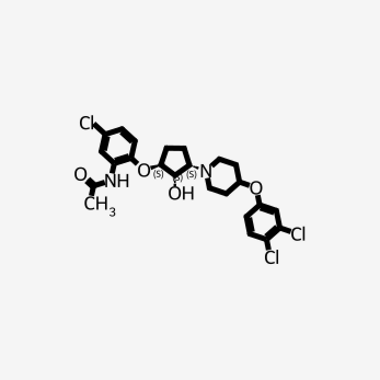 CC(=O)Nc1cc(Cl)ccc1O[C@H]1CC[C@H](N2CCC(Oc3ccc(Cl)c(Cl)c3)CC2)[C@@H]1O